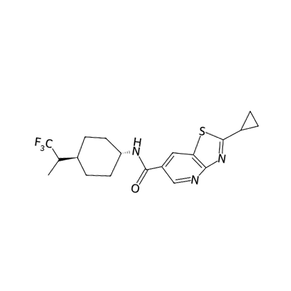 CC([C@H]1CC[C@H](NC(=O)c2cnc3nc(C4CC4)sc3c2)CC1)C(F)(F)F